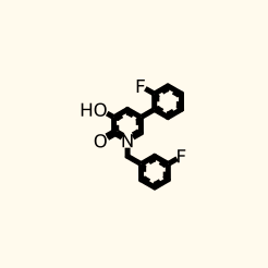 O=c1c(O)cc(-c2ccccc2F)cn1Cc1cccc(F)c1